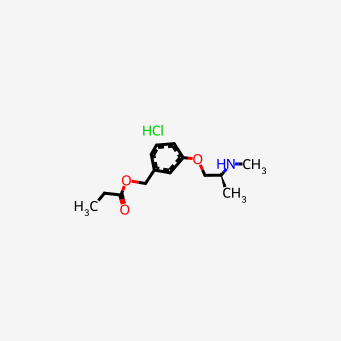 CCC(=O)OCc1cccc(OC[C@H](C)NC)c1.Cl